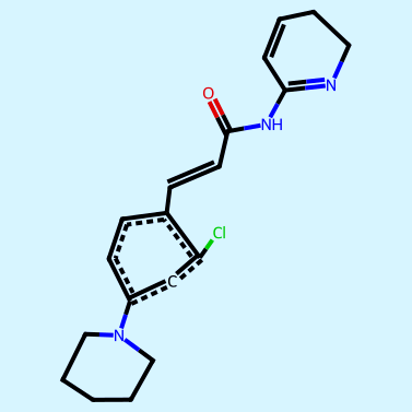 O=C(/C=C/c1ccc(N2CCCCC2)cc1Cl)NC1=NCCC=C1